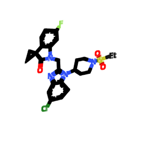 CCS(=O)(=O)N1CCC(n2c(CN3C(=O)C4(CC4)c4ccc(F)cc43)nc3cc(Cl)ccc32)CC1